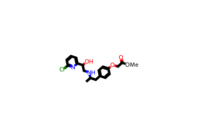 COC(=O)COc1ccc(CC(C)NCC(O)c2cccc(Cl)n2)cc1